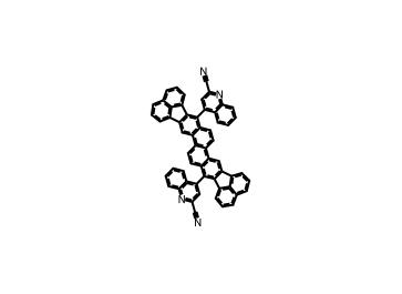 N#Cc1cc(-c2c3c(cc4c2ccc2c5cc6c(c(-c7cc(C#N)nc8ccccc78)c5ccc42)-c2cccc4cccc-6c24)-c2cccc4cccc-3c24)c2ccccc2n1